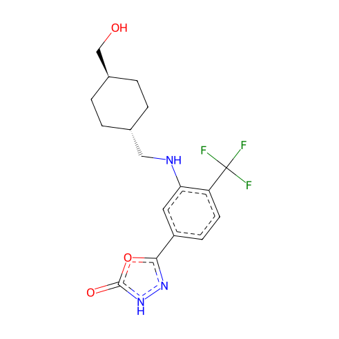 O=c1[nH]nc(-c2ccc(C(F)(F)F)c(NC[C@H]3CC[C@H](CO)CC3)c2)o1